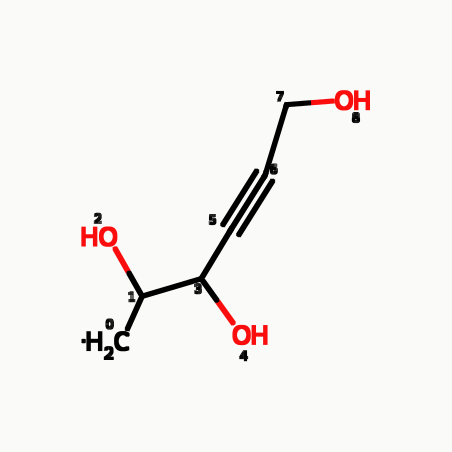 [CH2]C(O)C(O)C#CCO